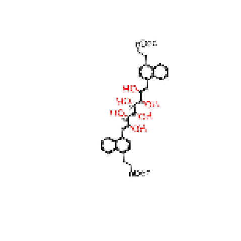 CCCCCCCCCCCCc1ccc(C=C(O)[C@@H](O)[C@@H](O)[C@H](O)[C@H](O)C(O)=Cc2ccc(CCCCCCCCCCCC)c3ccccc23)c2ccccc12